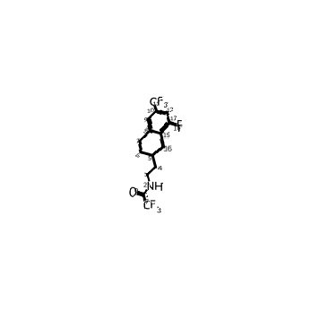 O=C(NCCC1CCc2cc(C(F)(F)F)cc(F)c2C1)C(F)(F)F